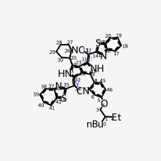 CCCCC(CC)COc1ccc(-c2[nH]/c(=C(/C#N)c3nc4ccccc4s3)c3c(C4CCCCC4)[nH]/c(=C(/C#N)c4nc5ccccc5s4)c23)cc1